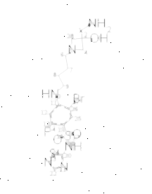 NCC1(O)CN(CCCCNc2cc(F)c(S(=O)(=O)Nc3ncns3)cc2Br)C1